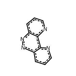 c1cnc2c(c1)nnc1cccnc12